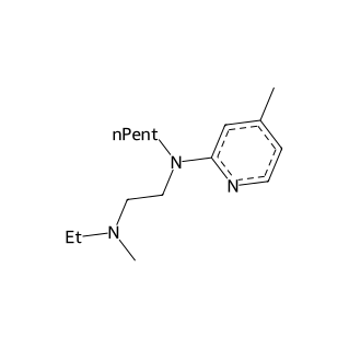 CCCCCN(CCN(C)CC)c1cc(C)ccn1